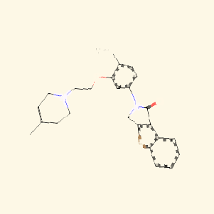 COc1ccc(N2Cc3sc4ccccc4c3C2=O)cc1OCCN1CCC(C)CC1